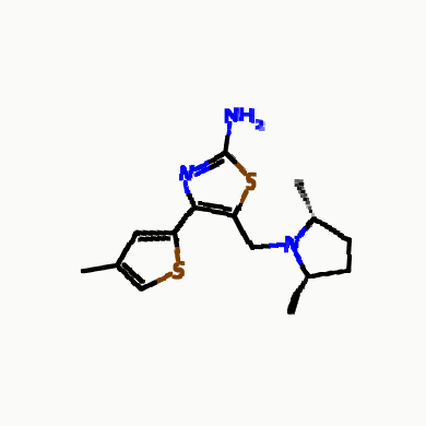 Cc1csc(-c2nc(N)sc2CN2[C@H](C)CC[C@H]2C)c1